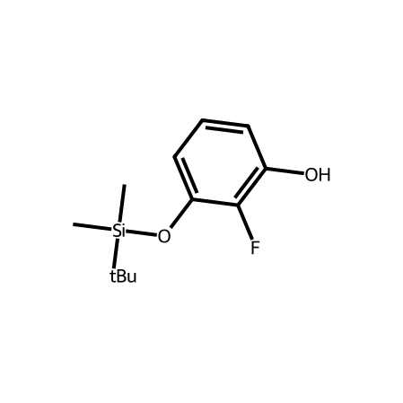 CC(C)(C)[Si](C)(C)Oc1cccc(O)c1F